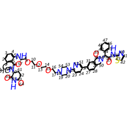 Cc1cccc(NCCOCCOCCOCCN2CCN(c3ccc(-c4ccc5c(c4)C(=O)N(C(C(=O)Nc4nccs4)c4ccccc4)C5)cn3)CC2)c1C(=O)N(C=O)C1CCC(=O)NC1=O